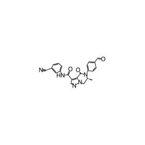 C[C@H]1Cn2ncc(C(=O)Nc3cccc(C#N)c3)c2C(=O)N1c1ccc(C=O)cc1